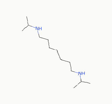 CC(C)NCCCCCCCNC(C)C